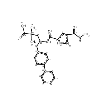 CNC(=O)c1cc(C(=O)NC(Cc2ccc(-c3ccccc3)cc2)CC(C)(C)C(=O)O)[nH]n1